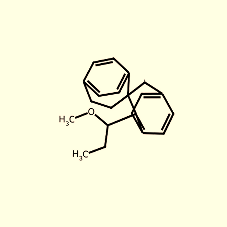 CCC(OC)C1c2ccc(cc2)[CH]C12CCc1ccc2cc1